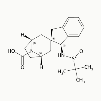 CC(C)(C)[S+]([O-])N[C@@H]1c2ccccc2C[C@@]12C[C@H]1CC[C@@H](C2)N1C(=O)O